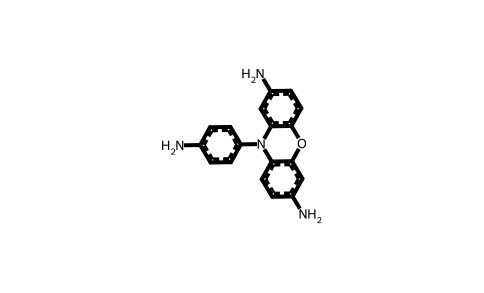 Nc1ccc(N2c3ccc(N)cc3Oc3ccc(N)cc32)cc1